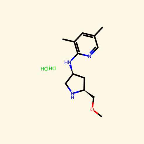 COC[C@@H]1C[C@H](Nc2ncc(C)cc2C)CN1.Cl.Cl